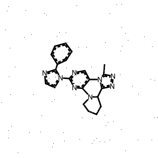 Cc1nnc2n1-c1cnc(-n3ccnc3-c3ccccc3)nc1N1CCCCC21